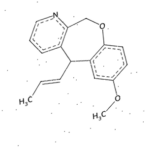 CC=CC1c2cc(OC)ccc2OCc2ncccc21